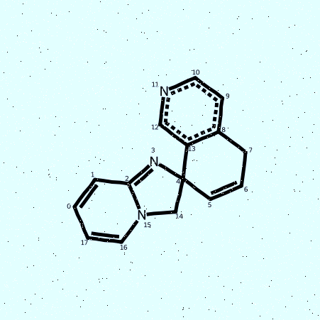 C1=CC2=NC3(C=CCc4ccncc43)CN2C=C1